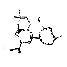 CC1(C)CCc2c(-c3ccc(F)cc3SF)cc(C(N)=O)nc2O1